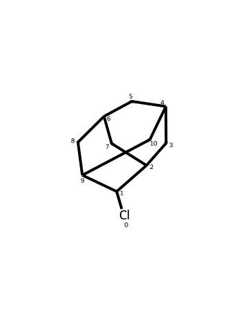 ClC1C2CC3CC(C2)CC1C3